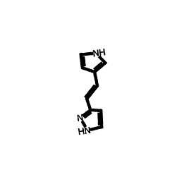 C(=C\c1cc[nH]n1)/c1cc[nH]c1